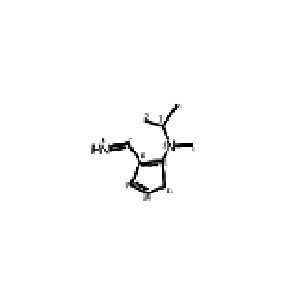 CC(C)N(C)C1=C(C=N)C=CC1